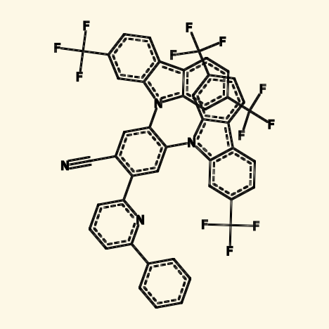 N#Cc1cc(-n2c3cc(C(F)(F)F)ccc3c3ccc(C(F)(F)F)cc32)c(-n2c3cc(C(F)(F)F)ccc3c3ccc(C(F)(F)F)cc32)cc1-c1cccc(-c2ccccc2)n1